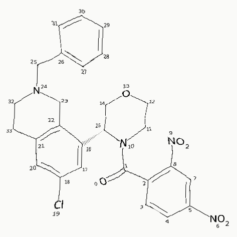 O=C(c1ccc([N+](=O)[O-])cc1[N+](=O)[O-])N1CCOC[C@H]1c1cc(Cl)cc2c1CN(Cc1ccccc1)CC2